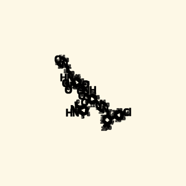 Cc1n[nH]c2cccc(Oc3cc(N4CCN(CC5=C(c6ccc(Cl)cc6)CC(C)(C)CC5)CC4)ccc3C(=O)NS(=O)(=O)c3ccc(NCCCN4CCOCC4)c([N+](=O)[O-])c3)c12